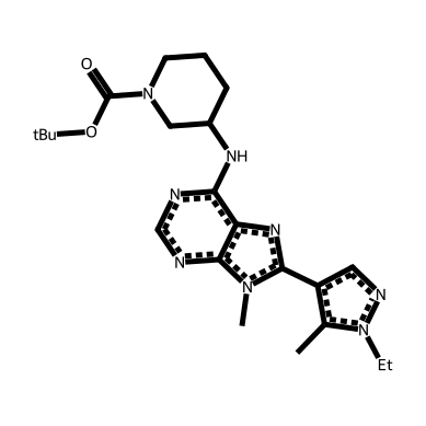 CCn1ncc(-c2nc3c(NC4CCCN(C(=O)OC(C)(C)C)C4)ncnc3n2C)c1C